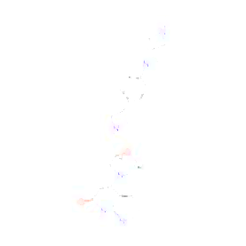 C[C@@H]1CN(c2cc(=O)n(C)c3ncccc23)C[C@H](CN2CC(c3ccc(N4CC5(CN(C)C5)C4)cc3)C2)O1